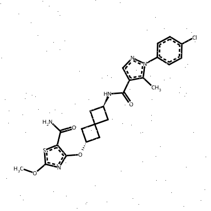 COc1nc(O[C@H]2CC3(C[C@H](NC(=O)c4cnn(-c5ccc(Cl)cc5)c4C)C3)C2)c(C(N)=O)s1